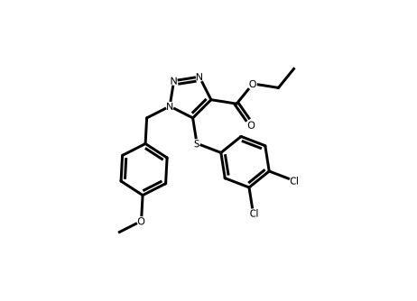 CCOC(=O)c1nnn(Cc2ccc(OC)cc2)c1Sc1ccc(Cl)c(Cl)c1